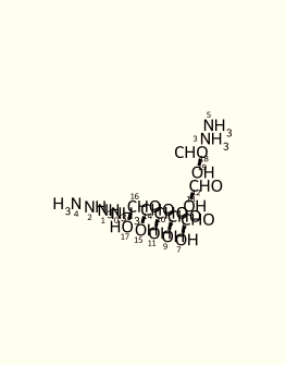 N.N.N.N.N.N.O=CO.O=CO.O=CO.O=CO.O=CO.O=CO.O=CO